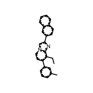 CCc1c(-c2cccc(C)c2)ccn2cc(-c3ccc4ccccc4c3)nc12